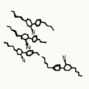 CCCCCC1CCC(c2ccc(CC)cc2)C(C#N)C1.CCCCCC1CCC(c2ccc(CCC)cc2)C(C#N)C1.CCCCCC1CCC(c2ccc(CCCC)cc2)C(C#N)C1.CCCCCc1ccc(C2CCC(CCCCC)CC2C#N)cc1